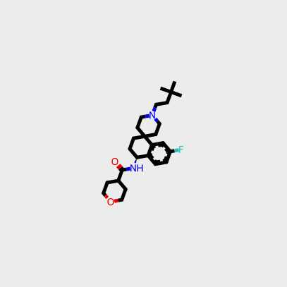 CC(C)(C)CCN1CCC2(CC[C@@H](NC(=O)C3CCOCC3)c3ccc(F)cc32)CC1